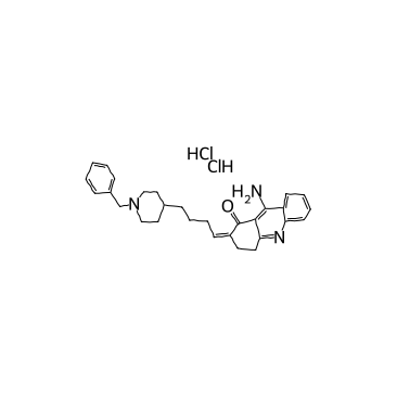 Cl.Cl.Nc1c2c(nc3ccccc13)CCC(=CCCCC1CCN(Cc3ccccc3)CC1)C2=O